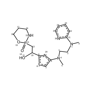 CN(CCN(C)c1csc(C(O)CP2(=O)NCCCO2)n1)c1ccccn1